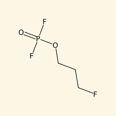 O=P(F)(F)OCCCF